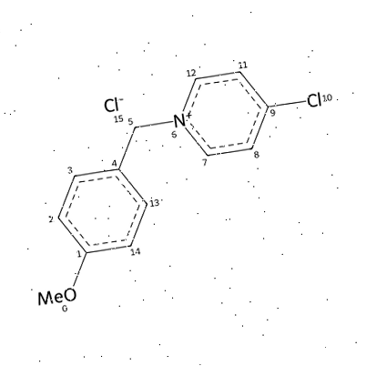 COc1ccc(C[n+]2ccc(Cl)cc2)cc1.[Cl-]